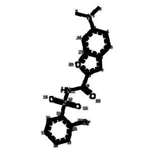 CN(C)c1ccc2cc(C(=O)NS(=O)(=O)c3ccccc3Br)oc2c1